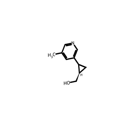 Cc1cncc(C2C[C@H]2CO)c1